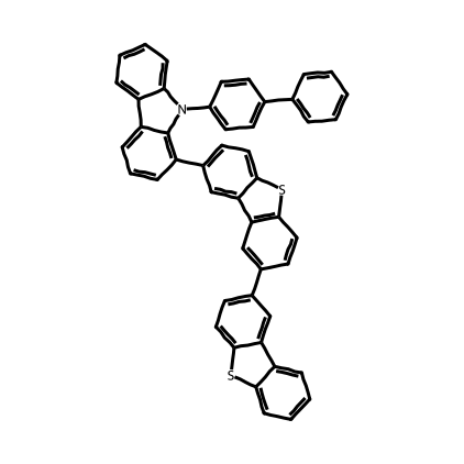 c1ccc(-c2ccc(-n3c4ccccc4c4cccc(-c5ccc6sc7ccc(-c8ccc9sc%10ccccc%10c9c8)cc7c6c5)c43)cc2)cc1